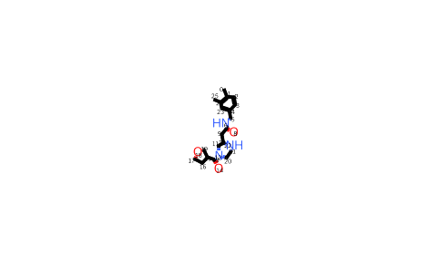 Cc1ccc(CNC(=O)CC2CN(C(=O)C3CCOC3)CCN2)cc1C